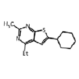 CCc1nc(C)nc2sc(C3CCCCC3)cc12